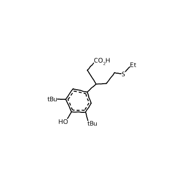 CCSCCC(CC(=O)O)c1cc(C(C)(C)C)c(O)c(C(C)(C)C)c1